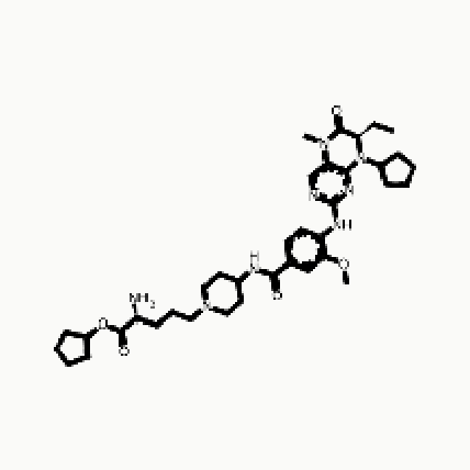 CC[C@@H]1C(=O)N(C)c2cnc(Nc3ccc(C(=O)NC4CCN(CCC[C@H](N)C(=O)OC5CCCC5)CC4)cc3OC)nc2N1C1CCCC1